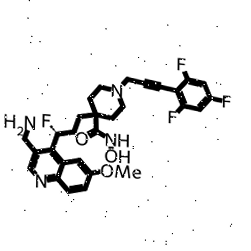 COc1ccc2ncc(CN)c([C@H](F)CCC3(C(=O)NO)CCN(CC#Cc4c(F)cc(F)cc4F)CC3)c2c1